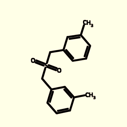 Cc1cccc(CS(=O)(=O)Cc2cccc(C)c2)c1